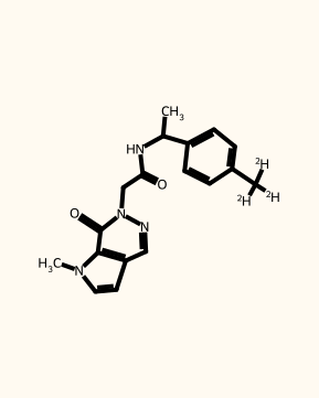 [2H]C([2H])([2H])c1ccc(C(C)NC(=O)Cn2ncc3ccn(C)c3c2=O)cc1